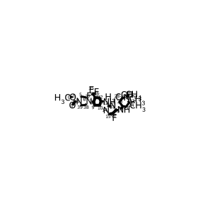 COC(=O)N1CCN(c2ccc(Nc3ncc(F)c(NC4CC(C)(C)N(C)C(C)(C)C4)n3)cc2C(F)(F)F)CC1